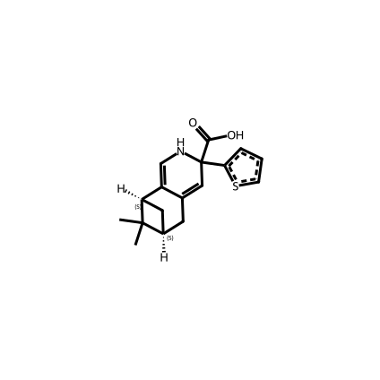 CC1(C)[C@@H]2CC3=CC(C(=O)O)(c4cccs4)NC=C3[C@H]1C2